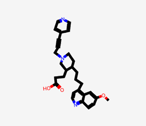 COc1ccc2nccc(CCCC3CCN(CC#Cc4ccncc4)CC3CCC(=O)O)c2c1